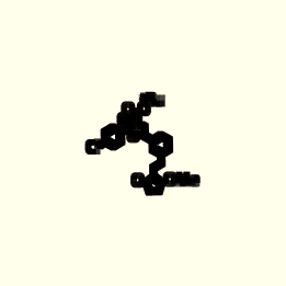 COC1=C(CCc2cccc(CCN(C(=O)OC(C)(C)C)S(=O)(=O)c3ccc(Cl)cc3)c2)C(=O)CC1